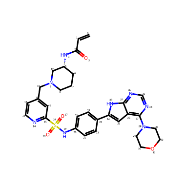 C=CC(=O)N[C@@H]1CCCN(Cc2ccnc(S(=O)(=O)Nc3ccc(-c4cc5c(N6CCOCC6)ncnc5[nH]4)cc3)c2)C1